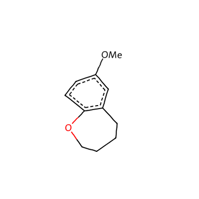 COc1ccc2c(c1)CCCCO2